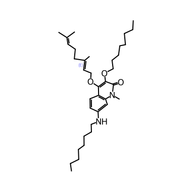 CCCCCCCCNc1ccc2c(OC/C=C(\C)CCC=C(C)C)c(OCCCCCCCC)c(=O)n(C)c2c1